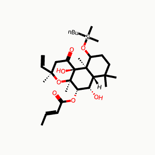 C=C[C@@]1(C)CC(=O)[C@]2(O)[C@@]3(C)C(O[Si](C)(C)CCCC)CCC(C)(C)[C@@H]3[C@H](O)[C@H](OC(=O)/C=C/C)[C@@]2(C)O1